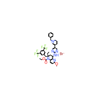 CCOC(=O)N1c2ccc(OC)nc2[C@@H](Nc2ncc(-c3ccc[n+](Cc4ccccc4)c3)cn2)C[C@@]1(CC)Cc1cc(C(F)(F)F)cc(C(F)(F)F)c1.[Br-]